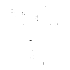 CCOc1ncc(Nc2cc([C@H](CC)CNS(=O)(=O)CC(C)C)ccc2N(CC)C2CCOCC2)cn1